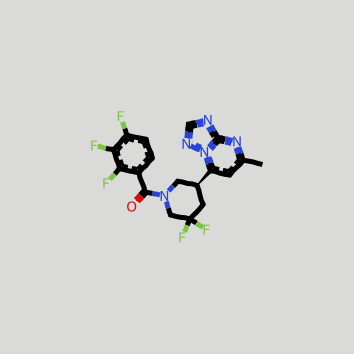 Cc1cc([C@@H]2CN(C(=O)c3ccc(F)c(F)c3F)CC(F)(F)C2)n2ncnc2n1